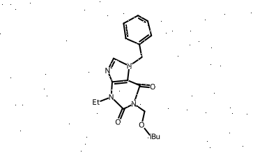 CCC(C)OCn1c(=O)c2c(ncn2Cc2ccccc2)n(CC)c1=O